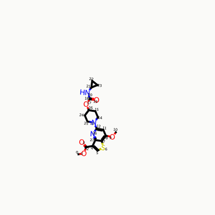 COC(=O)c1csc2c(OC)cc(N3CCC(OC(=O)NC4CC4)CC3)nc12